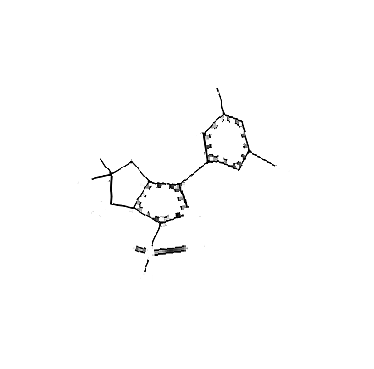 CS(=O)(=O)c1sc(-c2cc(F)cc(F)c2)c2c1[C@H](O)C(F)(F)C2